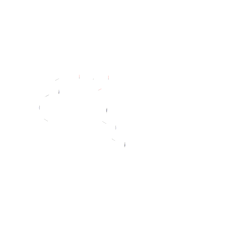 CC/C=C\C/C=C\C/C=C\C/C=C\C/C=C\CCCC(=O)OC[C@@H](COC(=O)CCCCCCCCCCCCCCCCC)OC(=O)CCC/C=C\C/C=C\C/C=C\C/C=C\C/C=C\CC